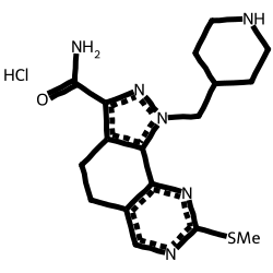 CSc1ncc2c(n1)-c1c(c(C(N)=O)nn1CC1CCNCC1)CC2.Cl